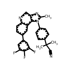 Cc1nc2cnc3ccc(-c4cc(F)c(F)c(F)c4)cc3c2n1-c1ccc(C(C)(C)C#N)cc1